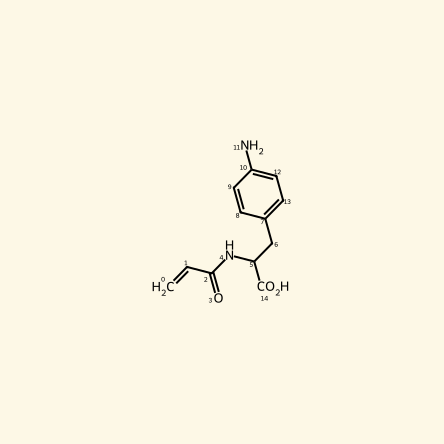 C=CC(=O)NC(Cc1ccc(N)cc1)C(=O)O